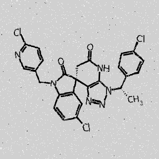 C[C@@H](c1ccc(Cl)cc1)n1nnc2c1NC(=O)C[C@]21C(=O)N(Cc2ccc(Cl)nc2)c2ccc(Cl)cc21